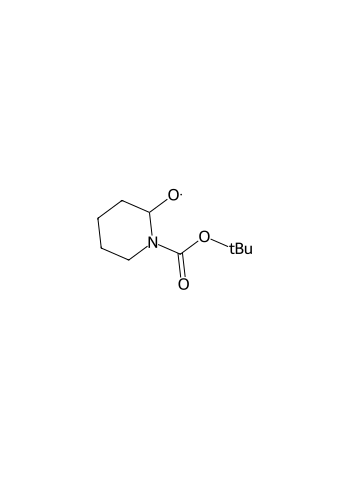 CC(C)(C)OC(=O)N1CCCCC1[O]